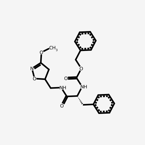 COC1=NOC(CNC(=O)[C@@H](Cc2ccccc2)NC(=O)OCc2ccccc2)C1